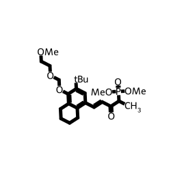 COCCOCOc1c(C(C)(C)C)cc(C=CC(=O)C(C)P(=O)(OC)OC)c2c1CCCC2